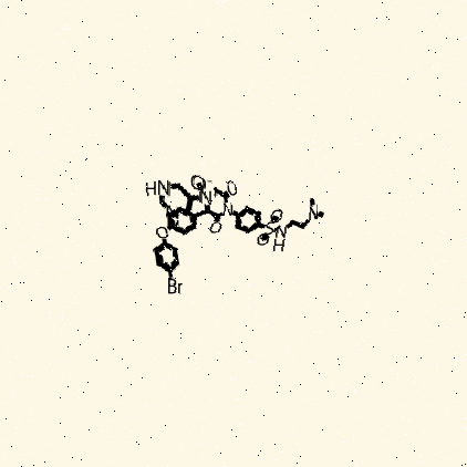 CN(C)CCNS(=O)(=O)c1ccc(N2C(=O)C[N+]([O-])(C3CNCNC3)C(c3ccc(Oc4ccc(Br)cc4)cc3)C2=O)cc1